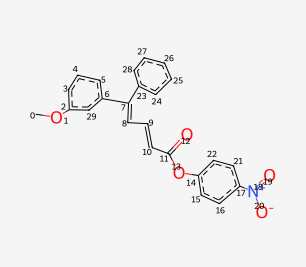 COc1cccc(/C(=C/C=C/C(=O)Oc2ccc([N+](=O)[O-])cc2)c2ccccc2)c1